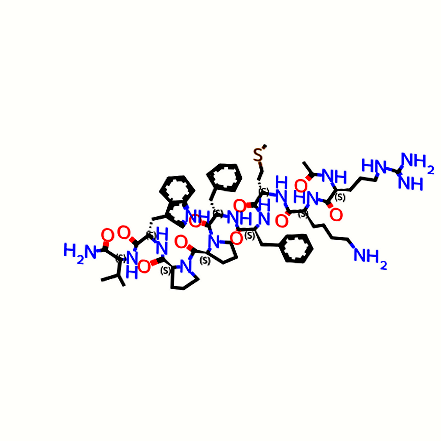 CSCC[C@H](NC(=O)[C@H](CCCCN)NC(=O)[C@H](CCCNC(=N)N)NC(C)=O)C(=O)N[C@@H](Cc1ccccc1)C(=O)N[C@@H](Cc1ccccc1)C(=O)N1CCC[C@H]1C(=O)N1CCC[C@H]1C(=O)N[C@@H](Cc1c[nH]c2ccccc12)C(=O)N[C@H](C(N)=O)C(C)C